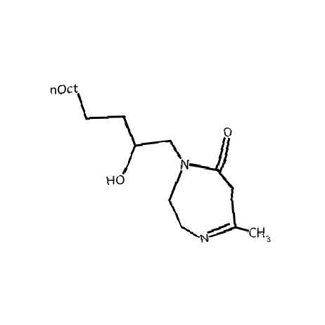 CCCCCCCCCCC(O)CN1CCN=C(C)CC1=O